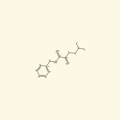 CC(C)CCC(=O)C(=O)OCc1ccccc1